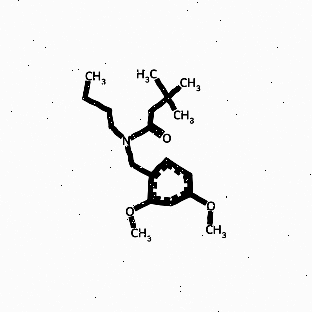 CCCCN(Cc1ccc(OC)cc1OC)C(=O)CC(C)(C)C